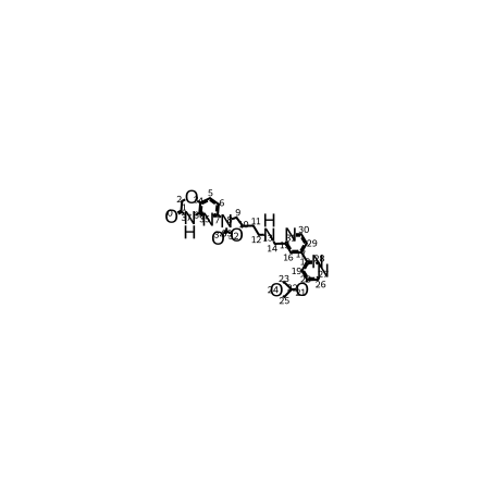 O=C1COc2ccc(N3CC(CCNCc4cc(-c5cc(OC6COC6)cnn5)ccn4)OC3=O)nc2N1